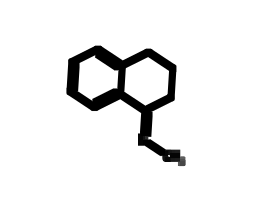 C/N=C1\CCCc2ccccc21